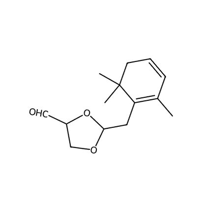 CC1=C(CC2OCC(C=O)O2)C(C)(C)CC=C1